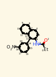 CCC(=O)Nc1ccc2ccccc2c1-c1cccc([N+](=O)[O-])c1